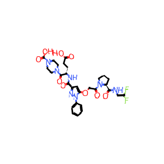 O=C(O)CC[C@H](NC(=O)c1cc(OCC(=O)N2CCC[C@H]2C(=O)NCC(F)F)n(-c2ccccc2)n1)C(=O)N1CCN(C(=O)O)CC1